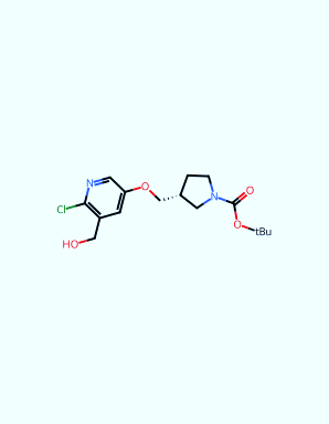 CC(C)(C)OC(=O)N1CC[C@@H](COc2cnc(Cl)c(CO)c2)C1